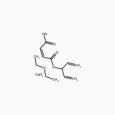 C=CC(C=C)OC(=O)/C=C\C(=O)O.CCOCC.[CaH2]